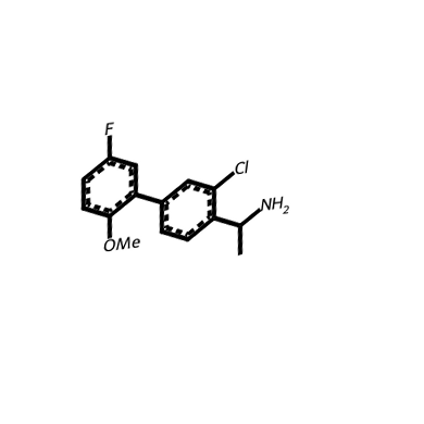 COc1ccc(F)cc1-c1ccc(C(C)N)c(Cl)c1